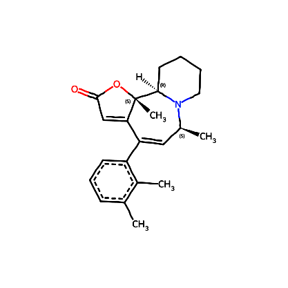 Cc1cccc(C2=C[C@H](C)N3CCCC[C@@H]3[C@@]3(C)OC(=O)C=C23)c1C